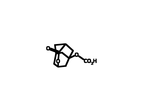 O=C(O)OC12CC3CC(C1)OC(=O)C(C3)C2